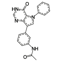 CC(=O)Nc1cccc(-c2cn(-c3ccccc3)c3c(=O)[nH]cnc23)c1